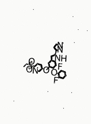 CCS(=O)(=O)c1ccc(Oc2cc3cc(-c4ccn(C)n4)[nH]c3cc2Oc2c(F)cccc2F)cn1